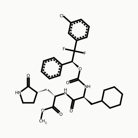 COC(=O)[C@H](C[C@@H]1CCNC1=O)NC(=O)[C@H](CC1CCCCC1)NC(=O)O[C@@H](c1ccccc1)C(F)(F)c1cccc(Cl)c1